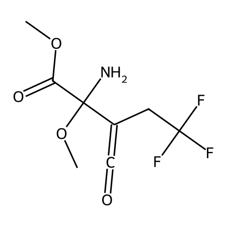 COC(=O)C(N)(OC)C(=C=O)CC(F)(F)F